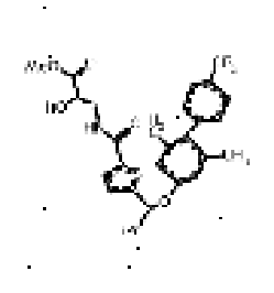 COC(=O)C(O)CNC(=O)c1ccc(C(Oc2cc(C)c(-c3ccc(C(F)(F)F)cc3)c(C)c2)C(C)C)s1